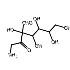 NCC(=O)C(O)(C=O)C(O)C(O)C(O)CO